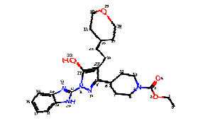 CCOC(=O)N1CCC(c2nn(-c3nc4ccccc4[nH]3)c(O)c2CCC2CCOCC2)CC1